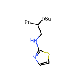 CCCCC(CC)CNc1nccs1